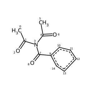 CC(=O)N(C(C)=O)C(=O)c1ccccc1